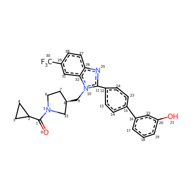 O=C(C1CC1)N1CC[C@@H](Cn2c(-c3ccc(-c4cccc(O)c4)cc3)nc3ccc(C(F)(F)F)cc32)C1